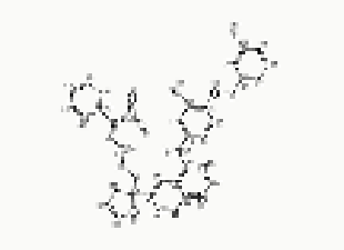 O=S(=O)=C(CNCCC1(c2ccc3ncnc(Nc4ccc(OCc5cccc(F)c5)c(Br)c4)c3c2)CC=CO1)c1ccccn1